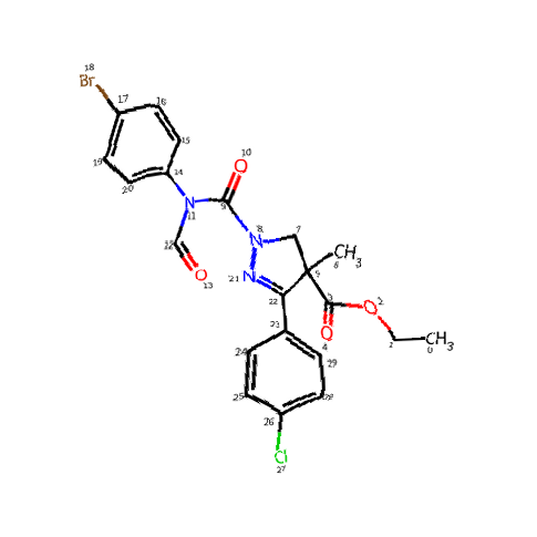 CCOC(=O)C1(C)CN(C(=O)N(C=O)c2ccc(Br)cc2)N=C1c1ccc(Cl)cc1